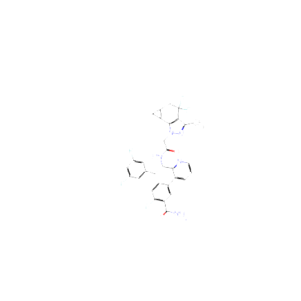 NC(=O)c1cc(-c2cccnc2[C@H](Cc2cc(F)cc(F)c2)NC(=O)Cn2nc(C(F)(F)F)c3c2C2CC2CC3(F)F)ccc1F